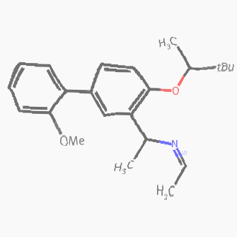 C/C=N\C(C)c1cc(-c2ccccc2OC)ccc1OC(C)C(C)(C)C